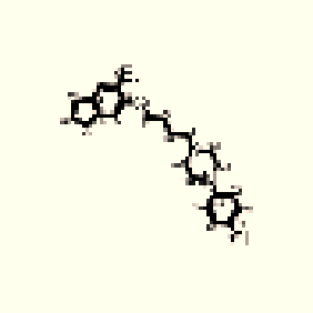 CCc1cc2c(cc1OCCCCN1CCN(c3ccc(Cl)cc3)CC1)CCC2